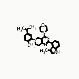 Cc1ccc(C(C)C)cc1N1CCc2nc(-c3cccc4[nH]cc(C)c34)nc(N3CCOCC3)c2C1